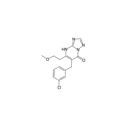 COCCc1[nH]c2ncnn2c(=O)c1Cc1cccc(Cl)c1